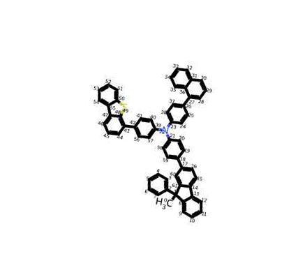 CC1(c2ccccc2)c2ccccc2-c2ccc(-c3ccc(N(c4ccc(-c5cccc6ccccc56)cc4)c4ccc(-c5cccc6c5sc5ccccc56)cc4)cc3)cc21